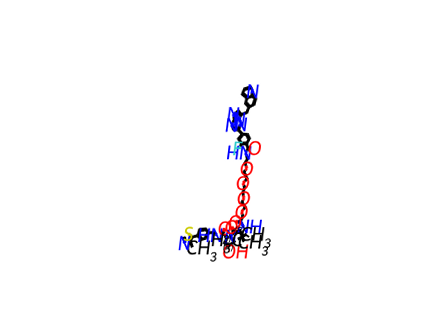 Cc1ncsc1-c1ccc(CNC(=O)[C@@H]2C[C@@H](O)CN2C(=O)[C@@H](NC(=O)COCCOCCOCCOCCNC(=O)c2ccc(-c3cnc4ncc(Cc5ccc6ncccc6c5)n4n3)cc2F)C(C)(C)C)cc1